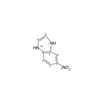 O=[N+]([O-])c1ccc2c(c1)NC=CN2